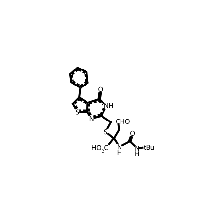 CC(C)(C)NC(=O)NC(CC=O)(SCc1nc2scc(-c3ccccc3)c2c(=O)[nH]1)C(=O)O